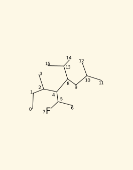 CCC(C)C(C(C)F)C(CC(C)C)C(C)C